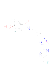 O=C(NCC12CCC(c3noc(-c4cnc(C(F)F)cn4)n3)(CC1)CC2)c1cc(F)c(O)c(F)c1